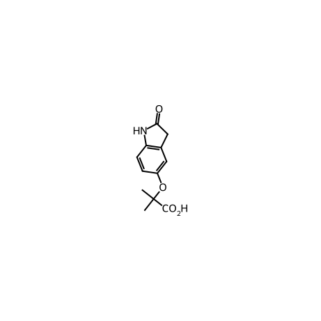 CC(C)(Oc1ccc2c(c1)CC(=O)N2)C(=O)O